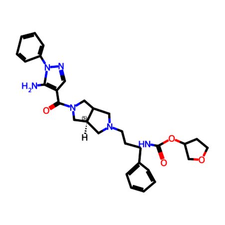 Nc1c(C(=O)N2CC3CN(CCC(NC(=O)OC4CCOC4)c4ccccc4)C[C@H]3C2)cnn1-c1ccccc1